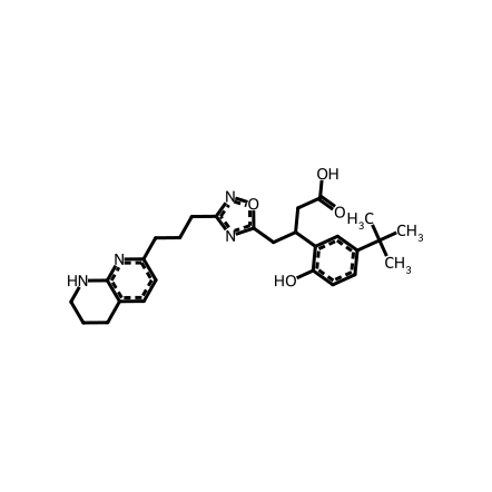 CC(C)(C)c1ccc(O)c(C(CC(=O)O)Cc2nc(CCCc3ccc4c(n3)NCCC4)no2)c1